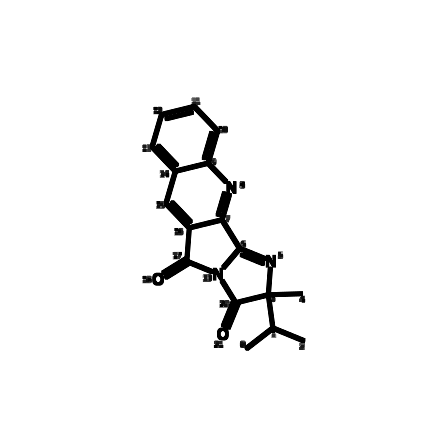 CC(C)C1(C)N=C2c3nc4ccccc4cc3C(=O)N2C1=O